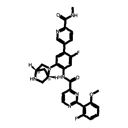 CNC(=O)c1ccc(-c2cc(N3C[C@@H]4C[C@H]3CN4)c(NC(=O)c3ccnc(-c4c(F)cccc4OC)n3)cc2F)cn1